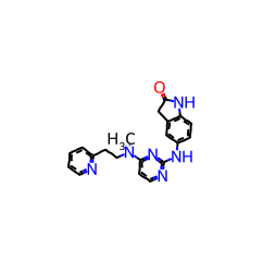 CN(CCc1ccccn1)c1ccnc(Nc2ccc3c(c2)CC(=O)N3)n1